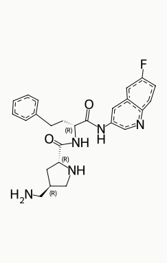 NC[C@@H]1CN[C@@H](C(=O)N[C@H](CCc2ccccc2)C(=O)Nc2cnc3ccc(F)cc3c2)C1